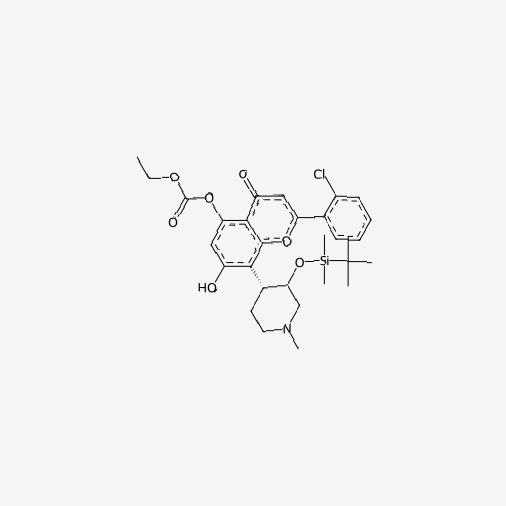 CCOC(=O)Oc1cc(O)c([C@H]2CCN(C)CC2O[Si](C)(C)C(C)(C)C)c2oc(-c3ccccc3Cl)cc(=O)c12